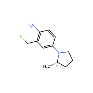 C[C@H]1CCCN1c1ccc(N)c(CF)c1